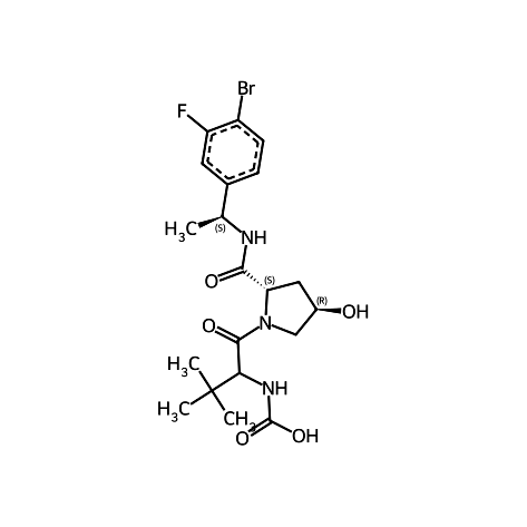 C[C@H](NC(=O)[C@@H]1C[C@@H](O)CN1C(=O)C(NC(=O)O)C(C)(C)C)c1ccc(Br)c(F)c1